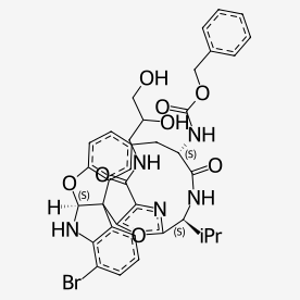 CC(C)[C@@H]1NC(=O)[C@@H](NC(=O)OCc2ccccc2)Cc2ccc3c(c2)C2(c4cccc(Br)c4N[C@H]2O3)c2oc1nc2C(=O)NCC(O)CO